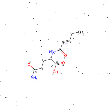 CC/C=C/C(=O)NC(CCC(N)=O)C(=O)O